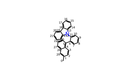 Cc1ccc2c(-c3ccccc3-n3c4ccccc4c4ccccc43)cccc2c1